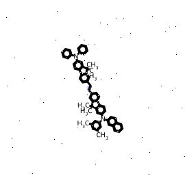 Cc1cc(C)cc(N(c2ccc3c(c2)C(C)(C)c2cc(/C=C/c4ccc5c(c4)C(C)(C)c4cc(N(c6ccccc6)c6ccccc6)ccc4-5)ccc2-3)c2ccc3ccccc3c2)c1